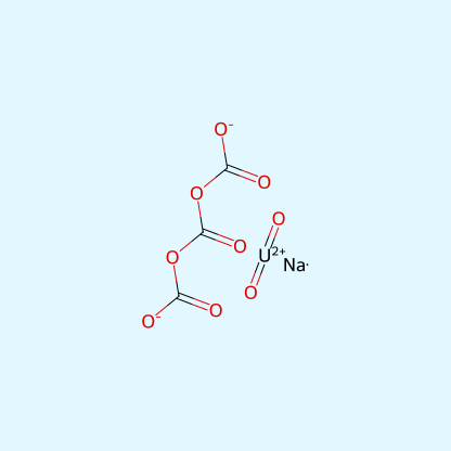 O=C([O-])OC(=O)OC(=O)[O-].[Na].[O]=[U+2]=[O]